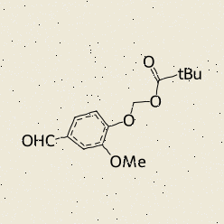 COc1cc(C=O)ccc1OCOC(=O)C(C)(C)C